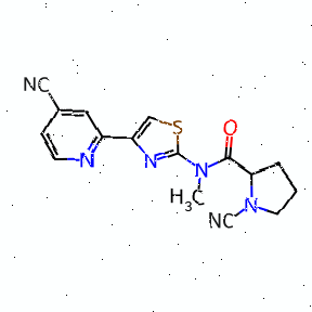 CN(C(=O)C1CCCN1C#N)c1nc(-c2cc(C#N)ccn2)cs1